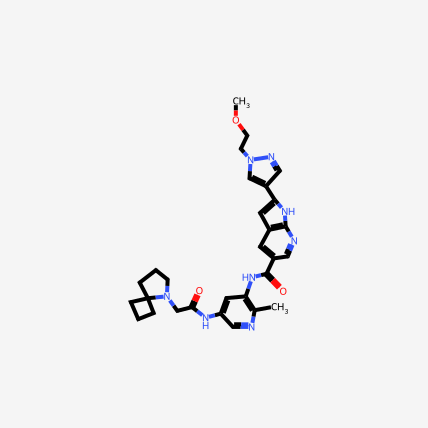 COCCn1cc(-c2cc3cc(C(=O)Nc4cc(NC(=O)CN5CCCC56CCC6)cnc4C)cnc3[nH]2)cn1